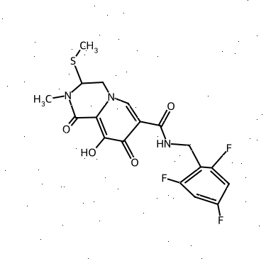 CSC1Cn2cc(C(=O)NCc3c(F)cc(F)cc3F)c(=O)c(O)c2C(=O)N1C